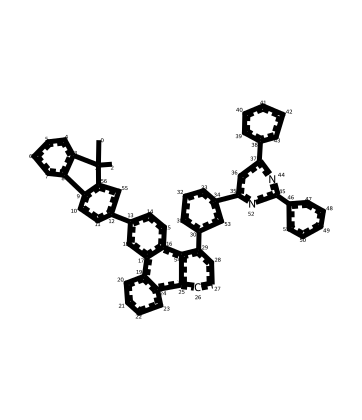 CC1(C)c2ccccc2-c2ccc(-c3ccc4c(c3)c3ccccc3c3cccc(-c5cccc(-c6cc(-c7ccccc7)nc(-c7ccccc7)n6)c5)c34)cc21